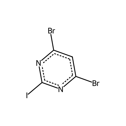 Brc1cc(Br)nc(I)n1